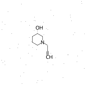 C#CCN1CCC[C@H](O)C1